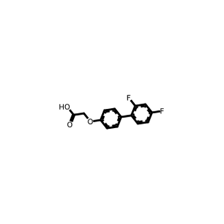 O=C(O)COc1ccc(-c2ccc(F)cc2F)cc1